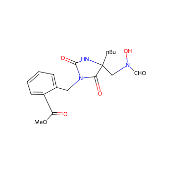 CCCCC1(CN(O)C=O)NC(=O)N(Cc2ccccc2C(=O)OC)C1=O